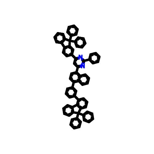 c1ccc(-c2nc(-c3ccc4c(c3)C(c3ccccc3)(c3ccccc3)c3ccccc3-4)cc(-c3ccc(-c4cccc(-c5cccc6c5-c5ccccc5C6(c5ccccc5)c5ccccc5)c4)c4ccccc34)n2)cc1